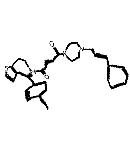 Cc1ccc(C2c3ccsc3CCN2C(=O)CCC(=O)N2CCN(CC=Cc3ccccc3)CC2)cc1